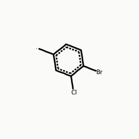 [CH2]c1ccc(Br)c(Cl)c1